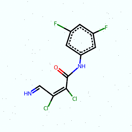 N=C/C(Cl)=C(/Cl)C(=O)Nc1cc(F)cc(F)c1